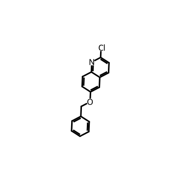 Clc1ccc2cc(OCc3ccccc3)ccc2n1